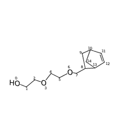 OCCOCCOCC1CC2C=CC1C2